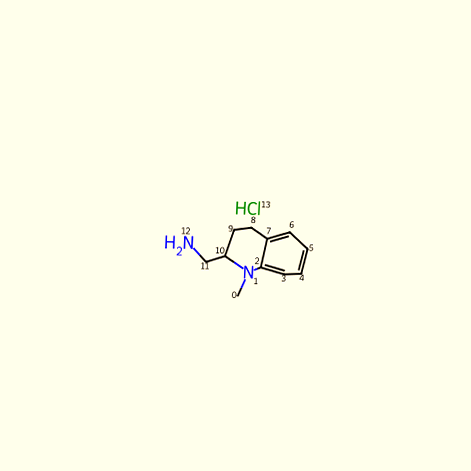 CN1c2ccccc2CCC1CN.Cl